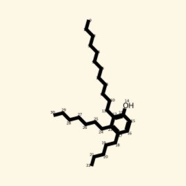 CCCCCCCCCCCCc1c(O)ccc(CCCCC)c1CCCCCCC